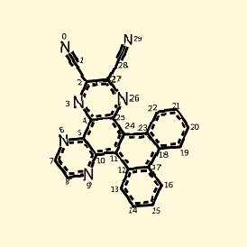 N#Cc1nc2c3nccnc3c3c4ccccc4c4ccccc4c3c2nc1C#N